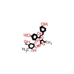 CC1OC(=O)C2=C1OC(CCc1ccc(O)cc1)(c1c(O)cc(O)cc1OC1C[C@H](CO)[C@@H](C)[C@H](O)[C@H]1O)O2